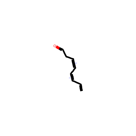 C=C/C=C\C=C/CC=O